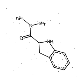 CCCN(CCC)C(=O)C1Cc2ccccc2N1